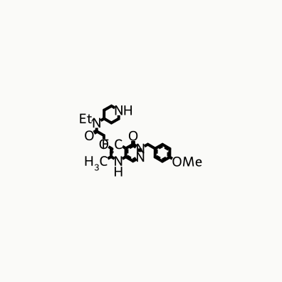 CCN(C(=O)COCC(C)Nc1cnn(Cc2ccc(OC)cc2)c(=O)c1C(F)(F)F)C1CCNCC1